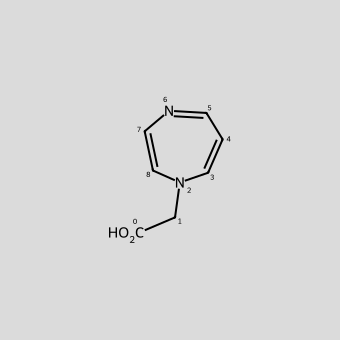 O=C(O)CN1C=CC=NC=C1